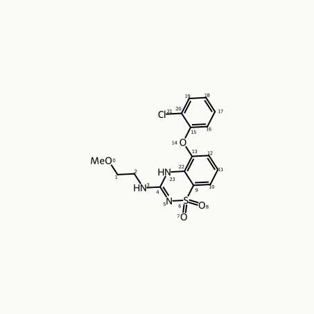 COCCNC1=NS(=O)(=O)c2cccc(Oc3ccccc3Cl)c2N1